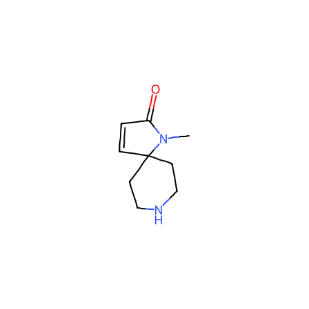 CN1C(=O)C=CC12CCNCC2